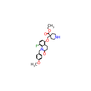 CCOC(=O)C1(COc2ccc(F)c3c2CCC(=O)N3Cc2ccc(OC)cc2)CCNCC1